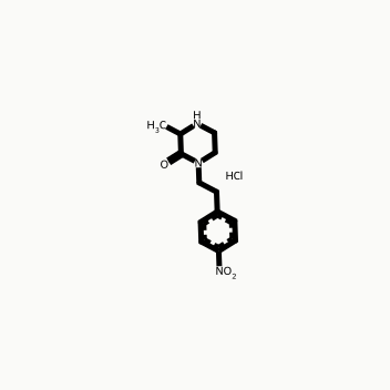 CC1NCCN(CCc2ccc([N+](=O)[O-])cc2)C1=O.Cl